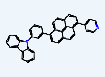 c1cc(-c2ccc3ccc4c(-c5ccncc5)ccc5ccc2c3c54)cc(-n2c3ccccc3c3ccccc32)c1